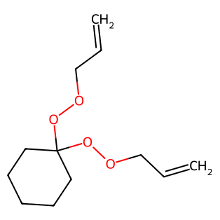 C=CCOOC1(OOCC=C)CCCCC1